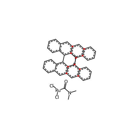 CN(C)[C](=O)[Ru]([Cl])[Cl].c1ccc(P(c2ccccc2)c2ccc3ccccc3c2-c2c(P(c3ccccc3)c3ccccc3)ccc3ccccc23)cc1